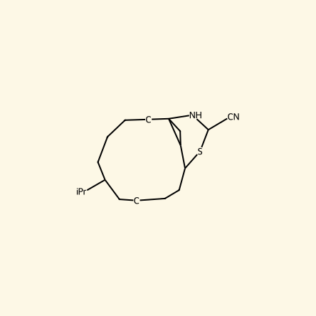 CC(C)C1CCCCC2SC(C#N)NC3(CCCC1)CC23